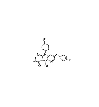 CNC(=O)c1c(O)c2ncc(Cc3ccc(F)cc3)cc2n(-c2ccc(F)cc2)c1=O